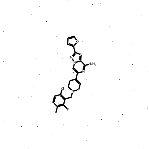 Cc1ccc(Cl)c(CN2CC=C(c3cn4nc(-c5ccco5)nc4c(N)n3)CC2)c1F